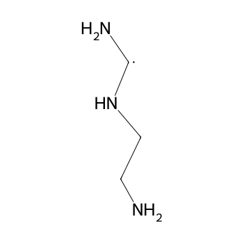 N[CH]NCCN